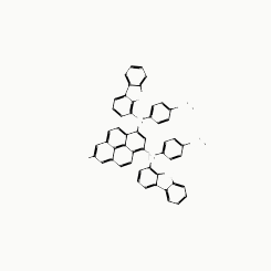 Cc1cc2ccc3c(N(c4ccc(C#N)cc4)c4cccc5c4oc4ccccc45)cc(N(c4ccc(C#N)cc4)c4cccc5c4oc4ccccc45)c4ccc(c1)c2c34